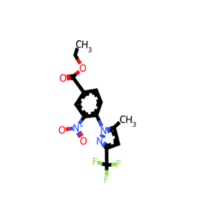 CCOC(=O)c1ccc(-n2nc(C(F)(F)F)cc2C)c([N+](=O)[O-])c1